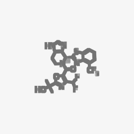 CC(C)(O)c1nc(C(F)F)c(C(=O)N2CCc3[nH]cnc3[C@H]2c2nc3c(C(F)(F)F)cccc3s2)o1